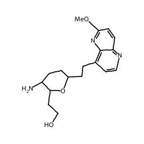 COc1ccc2nccc(CCC3CCC(N)C(CCO)O3)c2n1